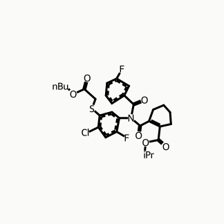 CCCCOC(=O)CSc1cc(N(C(=O)C2=C(C(=O)OC(C)C)CCCC2)C(=O)c2cccc(F)c2)c(F)cc1Cl